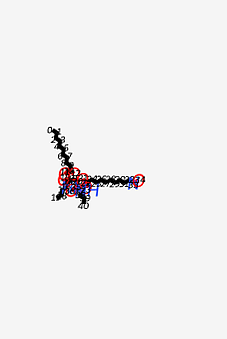 CCCCCCCCCCC(=O)O[C@@H](C(=O)NCCC)[C@@H](OC(=O)CCCCCCCCCN=O)C(=O)NCCC